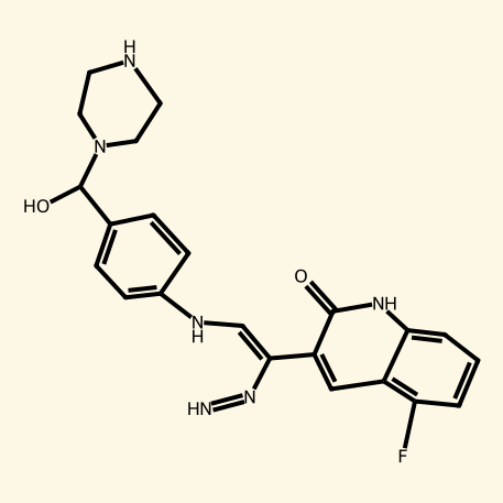 N=N/C(=C\Nc1ccc(C(O)N2CCNCC2)cc1)c1cc2c(F)cccc2[nH]c1=O